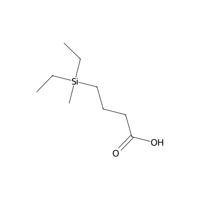 CC[Si](C)(CC)CCCC(=O)O